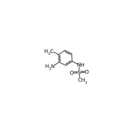 Cc1ccc(NS(C)(=O)=O)cc1N